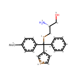 COc1ccc(C(SC[C@H](N)CO)(c2ccccc2)c2ccsc2)cc1